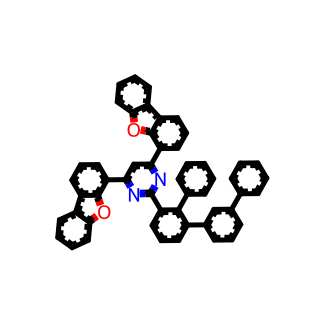 c1ccc(-c2cccc(-c3cccc(-c4nc(-c5cccc6c5oc5ccccc56)cc(-c5cccc6c5oc5ccccc56)n4)c3-c3ccccc3)c2)cc1